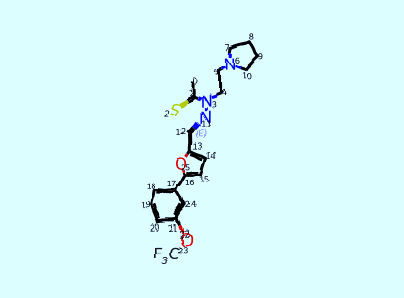 CC(=S)N(CCN1CCCC1)/N=C/c1ccc(-c2cccc(OC(F)(F)F)c2)o1